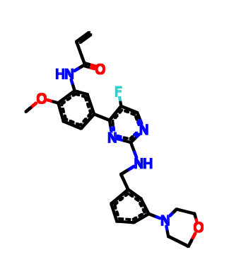 C=CC(=O)Nc1cc(-c2nc(NCc3cccc(N4CCOCC4)c3)ncc2F)ccc1OC